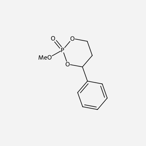 COP1(=O)OCCC(c2ccccc2)O1